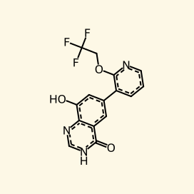 O=c1[nH]cnc2c(O)cc(-c3cccnc3OCC(F)(F)F)cc12